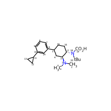 CN(C)[C@H]1CC(c2cccc(C3CC3)c2)CC[C@@H]1N(C(=O)O)C(C)(C)C